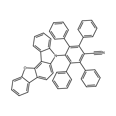 N#Cc1c(-c2ccccc2)c(-c2ccccc2)c(-n2c3ccccc3c3c4oc5ccccc5c4ccc32)c(-c2ccccc2)c1-c1ccccc1